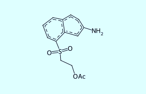 CC(=O)OCCS(=O)(=O)c1cccc2ccc(N)cc12